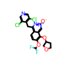 [O-][n+]1cc2c(OC3CCOC3)c(OC(F)F)ccc2c(Cc2c(Cl)cncc2Cl)n1